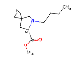 CCCCN1CC2(CC2)C[C@H]1C(=O)OC